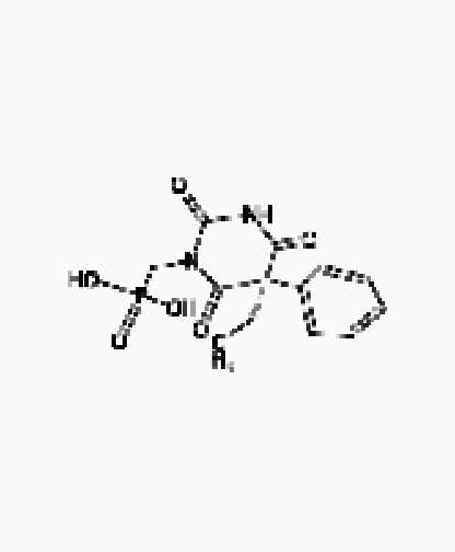 CC[C@@]1(c2ccccc2)C(=O)NC(=O)N(CP(=O)(O)O)C1=O